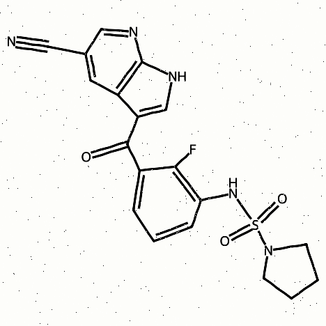 N#Cc1cnc2[nH]cc(C(=O)c3cccc(NS(=O)(=O)N4CCCC4)c3F)c2c1